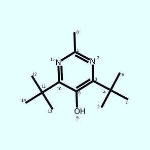 Cc1nc(C(C)(C)C)c(O)c(C(C)(C)C)n1